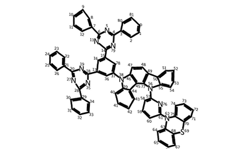 c1ccc(-c2nc(-c3ccccc3)nc(-c3cc(-c4nc(-c5ccccc5)nc(-c5ccccc5)n4)cc(-n4c5ccccc5c5c4ccc4c6ccccc6n(-c6cccc(N7c8ccccc8Sc8ccccc87)n6)c45)c3)n2)cc1